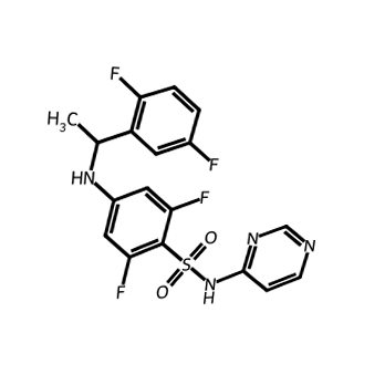 CC(Nc1cc(F)c(S(=O)(=O)Nc2ccncn2)c(F)c1)c1cc(F)ccc1F